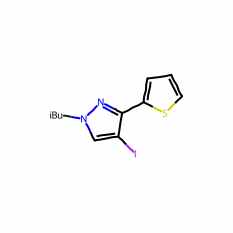 CCC(C)n1cc(I)c(-c2cccs2)n1